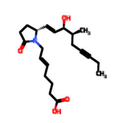 CCC#CC[C@H](C)[C@H](O)/C=C/[C@H]1CCC(=O)N1CC=CCCCC(=O)O